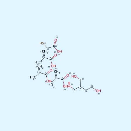 C=C(C)C(=O)O.C=C(C)C(=O)O.C=C(C)C(=O)O.O=C(O)CS.OCCC(CO)CO